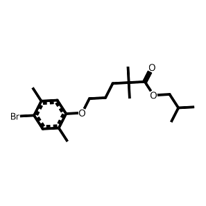 Cc1cc(OCCCC(C)(C)C(=O)OCC(C)C)c(C)cc1Br